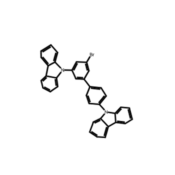 Brc1cc(-c2ccc(-n3c4ccccc4c4ccccc43)cc2)cc(-n2c3ccccc3c3ccccc32)c1